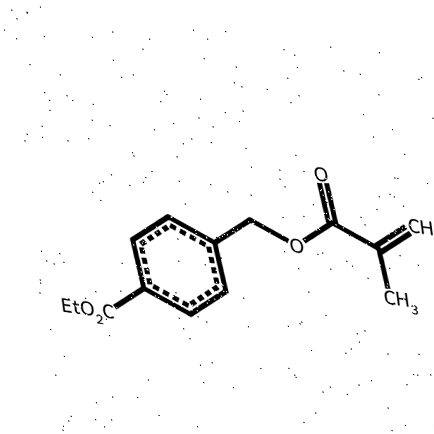 C=C(C)C(=O)OCc1ccc(C(=O)OCC)cc1